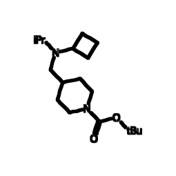 CC(C)N(CC1CCN(C(=O)OC(C)(C)C)CC1)C1CCC1